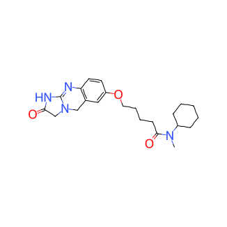 CN(C(=O)CCCCOc1ccc2c(c1)CN1CC(=O)NC1=N2)C1CCCCC1